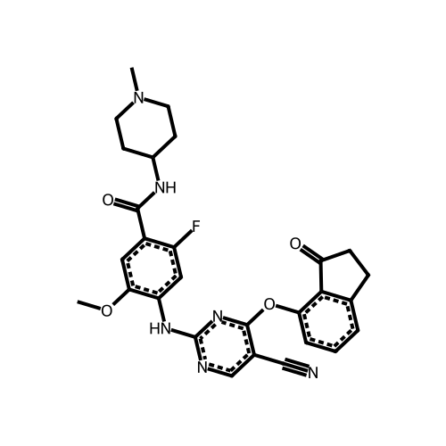 COc1cc(C(=O)NC2CCN(C)CC2)c(F)cc1Nc1ncc(C#N)c(Oc2cccc3c2C(=O)CC3)n1